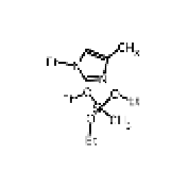 CCO[Si](C)(OCC)OCC.CCn1cnc(C)c1